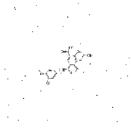 COc1ccc(CNc2ncnc3c(CCO)c(OC)c([N+](=O)[O-])cc23)cc1Cl